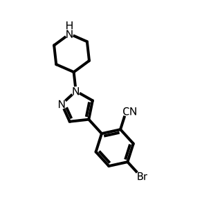 N#Cc1cc(Br)ccc1-c1cnn(C2CCNCC2)c1